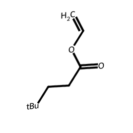 C=COC(=O)CCC(C)(C)C